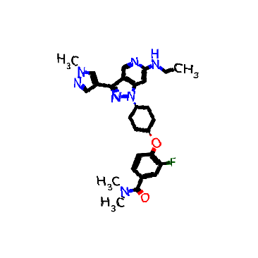 CCNc1cc2c(cn1)c(-c1cnn(C)c1)nn2[C@H]1CC[C@@H](Oc2ccc(C(=O)N(C)C)cc2F)CC1